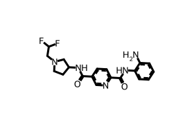 Nc1ccccc1NC(=O)c1ccc(C(=O)NC2CCN(CC(F)F)C2)cn1